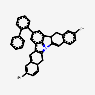 CC(C)C1=CC2=Cc3c(n4c5c(cc(-c6ccccc6-c6ccccc6)cc35)C3Cc5cc(C(C)C)ccc5C=C34)CC2C=C1